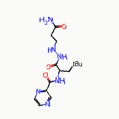 CC(C)(C)CC(NC(=O)c1cnccn1)C(=O)NNCCC(N)=O